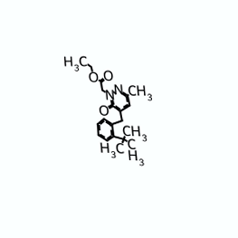 CCOC(=O)Cn1nc(C)cc(Cc2ccccc2C(C)(C)C)c1=O